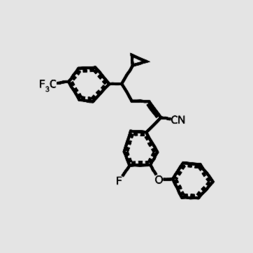 N#CC(=CCC(c1ccc(C(F)(F)F)cc1)C1CC1)c1ccc(F)c(Oc2ccccc2)c1